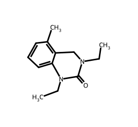 CCN1Cc2c(C)cccc2N(CC)C1=O